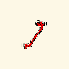 COC[C@H]1CN[C@H](C)CN1CC(=O)N1CC(C)(C)c2ncc(Cc3cccc(OCCOCCOCCOCCOCCOCCOCCNC(=O)CN4CCC(c5cc(OC(C)C)c(Nc6ncc(Cl)c(Nc7ccccc7S(=O)(=O)C(C)C)n6)cc5C)CC4)c3)cc21